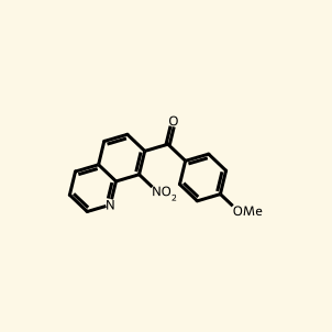 COc1ccc(C(=O)c2ccc3cccnc3c2[N+](=O)[O-])cc1